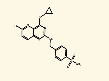 NS(=O)(=O)c1ccc(CNc2nc(OC3CC3)c3nc(Cl)ccc3n2)cc1